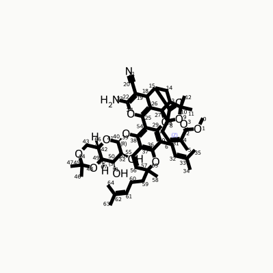 COC(=O)/C(C)=C\CC12OC(C)(C)C3CC(C1=O)C1C(C#N)=C(N)OC4=C1C32Oc1c(CC=C(C)C)c2c(c(O[C@H]3O[C@H]5COC(C)(C)O[C@@H]5[C@@H](O)[C@@H]3O)c14)C=CC(C)(CCC=C(C)C)O2